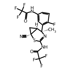 C[C@]1(c2cc(NC(=O)C(F)(F)F)ccc2F)N=C(NC(=O)C(F)(F)F)S[C@@]2(C#N)C[C@H]21